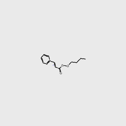 CCCCOOC(=O)/C=C/c1ccccc1